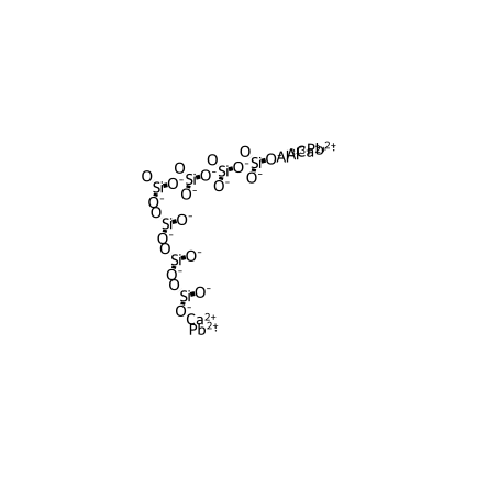 O=[Si]([O-])[O-].O=[Si]([O-])[O-].O=[Si]([O-])[O-].O=[Si]([O-])[O-].O=[Si]([O-])[O-].O=[Si]([O-])[O-].O=[Si]([O-])[O-].[Al+3].[Al+3].[Ca+2].[Ca+2].[Pb+2].[Pb+2]